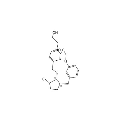 O=C(O)COc1cccc(C[C@H]2CCC(Cl)[C@@H]2CCc2ccc(CCO)cc2)c1